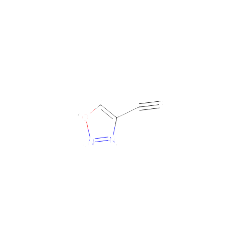 [C]#Cc1conn1